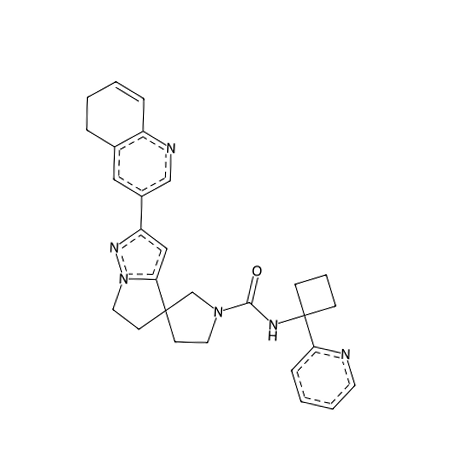 O=C(NC1(c2ccccn2)CCC1)N1CCC2(CCn3nc(-c4cnc5c(c4)CCC=C5)cc32)C1